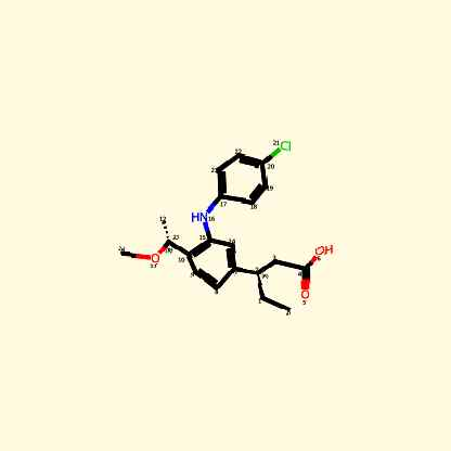 CC[C@H](CC(=O)O)c1ccc([C@@H](C)OC)c(Nc2ccc(Cl)cc2)c1